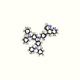 c1ccc(N(c2ccccc2)c2ccc3c(c2)c2cc(N(c4ccccc4)c4ccccc4)ccc2n3-c2ccc(-c3cc4cccnc4c4ncccc34)cc2)cc1